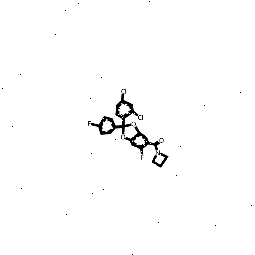 O=C(c1cc2c(cc1F)OC(c1ccc(F)cc1)(c1ccc(Cl)cc1Cl)O2)N1CCC1